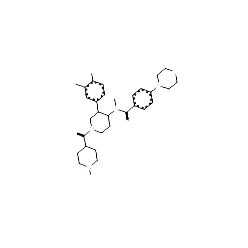 CC(=O)N1CCC(C(=O)N2CCC(N(C)C(=O)c3ccc(N4CCOCC4)cc3)C(c3ccc(Cl)c(Cl)c3)C2)CC1